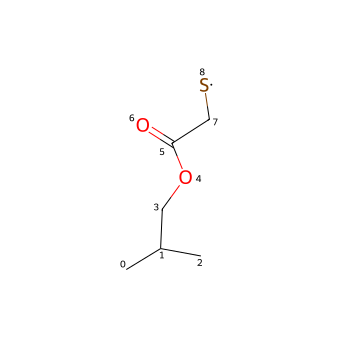 CC(C)COC(=O)C[S]